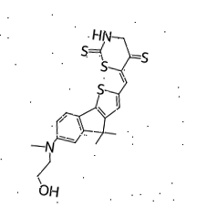 CN(CCO)c1ccc2c(c1)C(C)(C)c1cc(/C=C3\SC(=S)NCC3=S)sc1-2